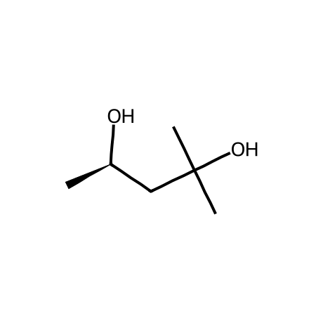 C[C@@H](O)CC(C)(C)O